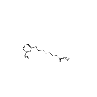 Nc1cccc(OCCCCCCNC(=O)O)c1